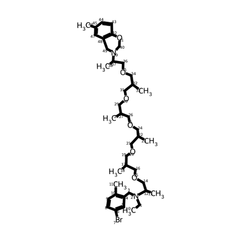 CCN(Cc1cc(Br)ccc1C)C(C)COCC(C)COCC(C)COCC(C)COCC(C)COCC(C)N1COc2ccc(C)cc2C1